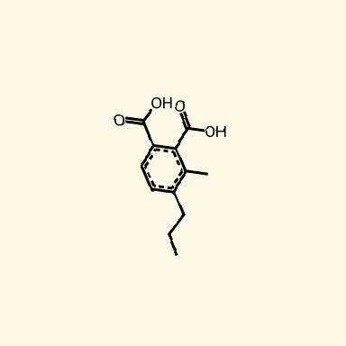 CCCc1ccc(C(=O)O)c(C(=O)O)c1C